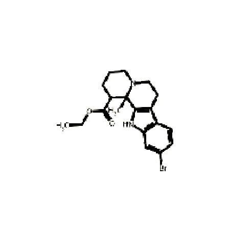 CCOC(=O)C1CCCN2CCc3c([nH]c4cc(Br)ccc34)C12C